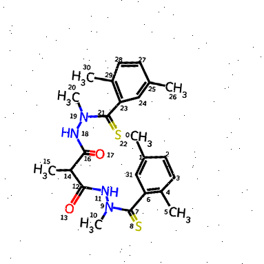 Cc1ccc(C)c(C(=S)N(C)NC(=O)C(C)C(=O)NN(C)C(=S)c2cc(C)ccc2C)c1